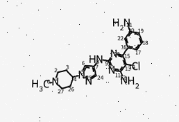 CN1CCC(n2cc(Nc3nc(N)c(Cl)c(-c4cccc(N)c4)n3)cn2)CC1